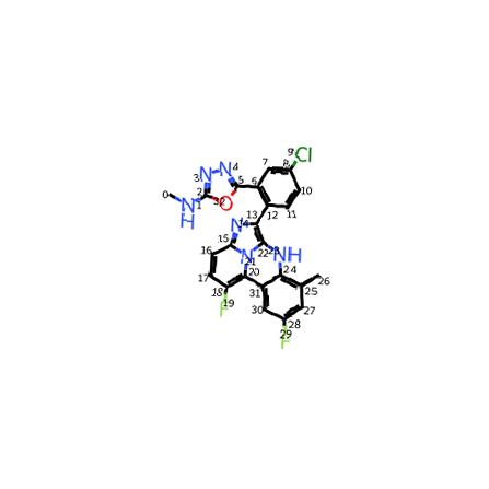 CNc1nnc(-c2cc(Cl)ccc2-c2nc3ccc(F)c4n3c2Nc2c(C)cc(F)cc2-4)o1